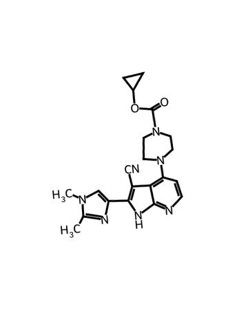 Cc1nc(-c2[nH]c3nccc(N4CCN(C(=O)OC5CC5)CC4)c3c2C#N)cn1C